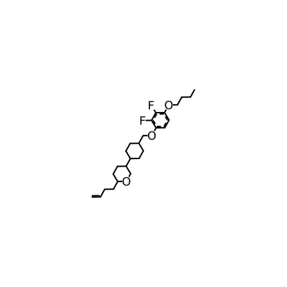 C=CCCC1CCC(C2CCC(COc3ccc(OCCCC)c(F)c3F)CC2)CO1